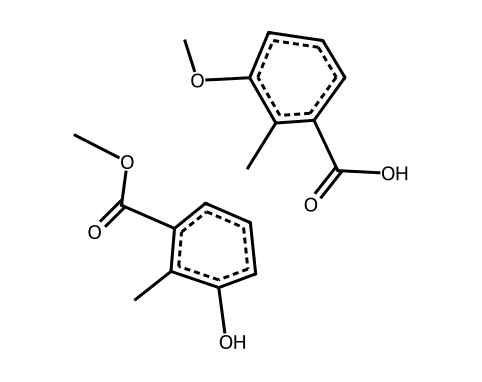 COC(=O)c1cccc(O)c1C.COc1cccc(C(=O)O)c1C